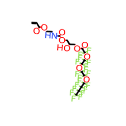 C=CC(=O)OCCNC(=O)OCC(O)COC(=O)C(F)(F)OC(F)(F)C(F)(F)OC(F)(F)C(F)(F)OC(F)(F)C(F)(F)C(F)(F)C(F)(F)F